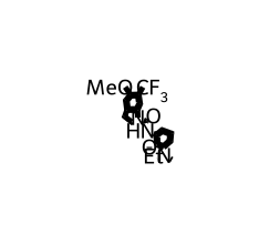 CCOc1c(NC(=O)N2CCc3cc(OC)c(C(F)(F)F)cc32)cccc1N(C)C